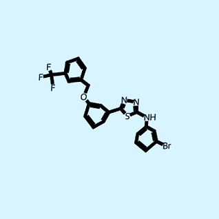 FC(F)(F)c1cccc(COc2cccc(-c3nnc(Nc4cccc(Br)c4)s3)c2)c1